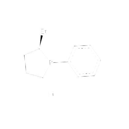 CC[C@@H]1CC[C@@H](CC)P1c1ccccc1